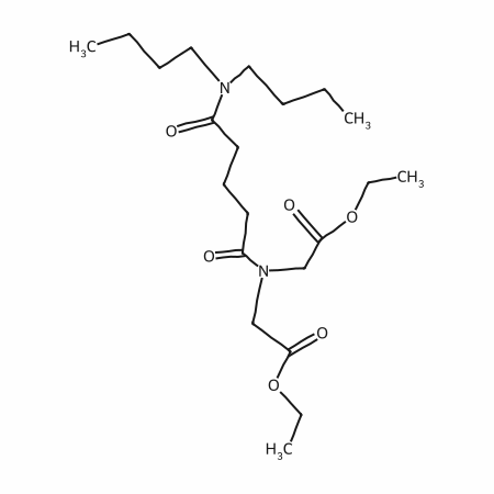 CCCCN(CCCC)C(=O)CCCC(=O)N(CC(=O)OCC)CC(=O)OCC